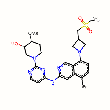 CO[C@@H]1CCN(c2nccc(Nc3cc4c(C(C)C)ccc(N5CC(CS(C)(=O)=O)C5)c4cn3)n2)C[C@@H]1O